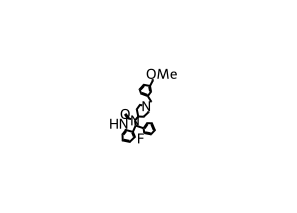 COCc1cccc(CN2CCC(N3C(=O)Nc4ccccc4C3c3ccccc3F)CC2)c1